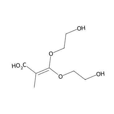 CC(C(=O)O)=C(OCCO)OCCO